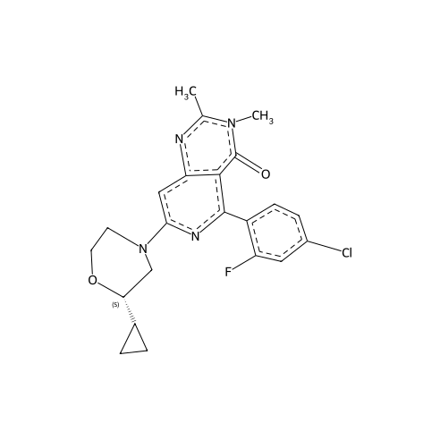 Cc1nc2cc(N3CCO[C@@H](C4CC4)C3)nc(-c3ccc(Cl)cc3F)c2c(=O)n1C